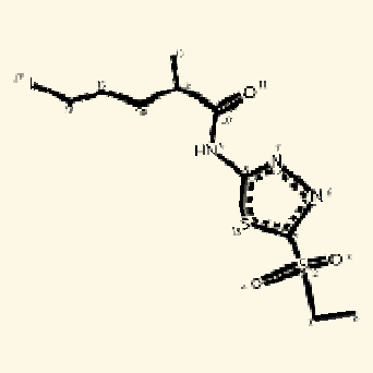 CCS(=O)(=O)c1nnc(NC(=O)C(C)CCCI)s1